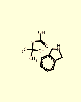 CC(C)(C)OC(=O)O.c1ccc2c(c1)CNC2